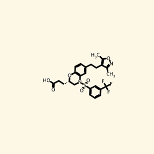 Cc1noc(C)c1CCc1ccc2c(c1)N(S(=O)(=O)c1cccc(C(F)(F)F)c1)C[C@H](CCC(=O)O)O2